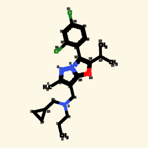 CCCN(Cc1c(C)nn2c(-c3ccc(Cl)cc3Cl)c(C(C)C)oc12)CC1CC1